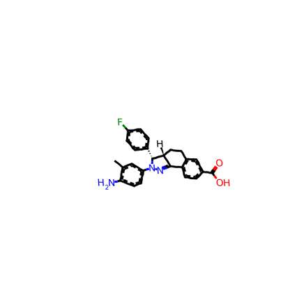 Cc1cc(N2N=C3c4ccc(C(=O)O)cc4CC[C@H]3[C@H]2c2ccc(F)cc2)ccc1N